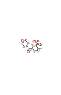 Cc1ccc(C(=O)N2CCOCC2)cc1S(C)(=O)=O